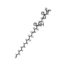 CCCCCCCCCCCCCCCCCC(=O)NCCCOC(=O)CN(C)C